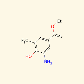 C=C(OCC)c1cc(N)c(O)c(C(F)(F)F)c1